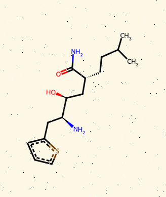 CC(C)CC[C@H](C[C@H](O)[C@@H](N)Cc1cccs1)C(N)=O